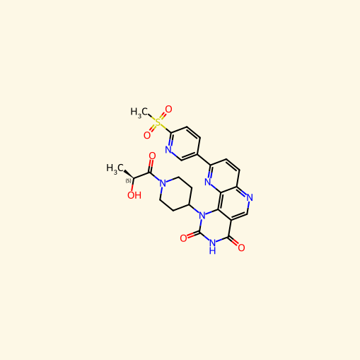 C[C@H](O)C(=O)N1CCC(n2c(=O)[nH]c(=O)c3cnc4ccc(-c5ccc(S(C)(=O)=O)nc5)nc4c32)CC1